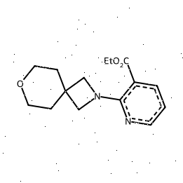 CCOC(=O)c1cccnc1N1CC2(CCOCC2)C1